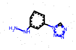 NNc1cccc(-n2cnnn2)c1